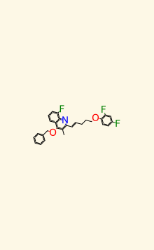 Cc1c(C=CCCCOc2ccc(F)cc2F)nc2c(F)cccc2c1OCc1ccccc1